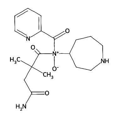 CC(C)(CC(N)=O)C(=O)[N+]([O-])(C(=O)c1ccccn1)C1CCCNCC1